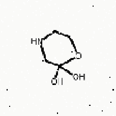 OC1(O)CNCCO1